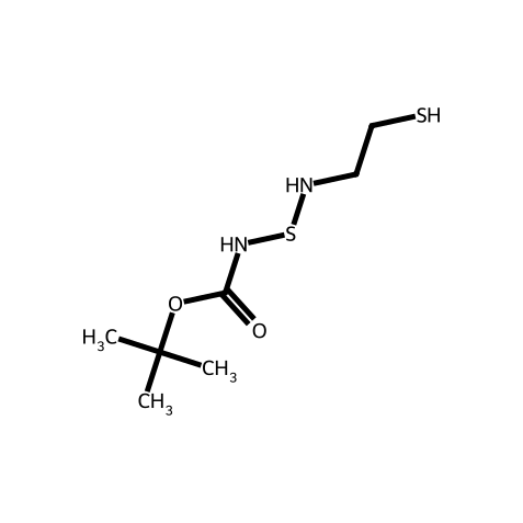 CC(C)(C)OC(=O)NSNCCS